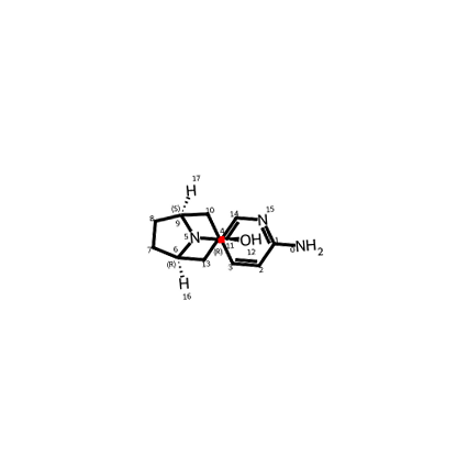 Nc1ccc(N2[C@@H]3CC[C@H]2C[C@@H](O)C3)cn1